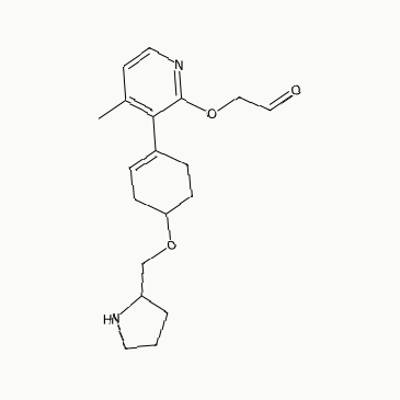 Cc1ccnc(OCC=O)c1C1=CCC(OCC2CCCN2)CC1